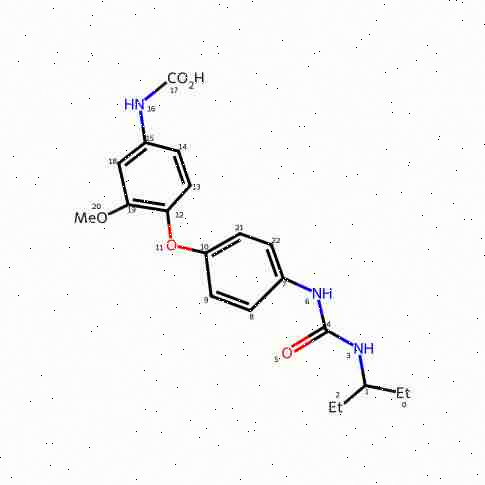 CCC(CC)NC(=O)Nc1ccc(Oc2ccc(NC(=O)O)cc2OC)cc1